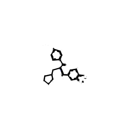 COc1ccc(C(=O)/C(CC2CCCC2)=C(/C(=O)O)c2ccc3nsnc3c2)cc1